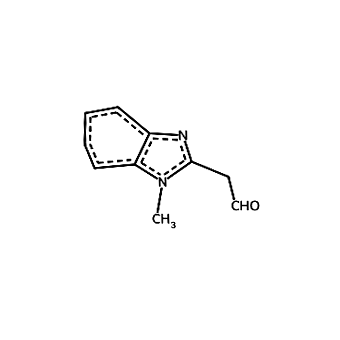 Cn1c(CC=O)nc2ccccc21